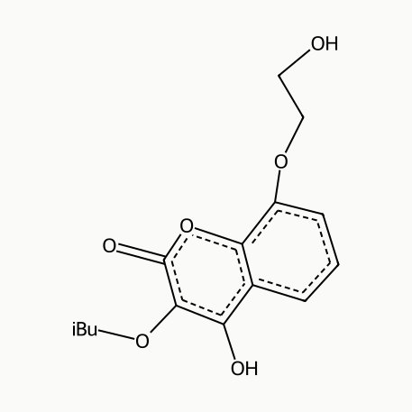 CCC(C)Oc1c(O)c2cccc(OCCO)c2oc1=O